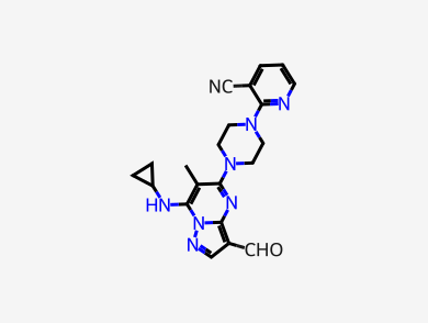 Cc1c(N2CCN(c3ncccc3C#N)CC2)nc2c(C=O)cnn2c1NC1CC1